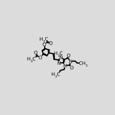 CCCn1c(=O)c2c(nc(/C=C/c3cc(OC(C)=O)cc(OC(C)=O)c3)n2C)n(CCC)c1=O